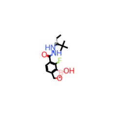 CC[C@@H](NNC(=O)c1ccc2c(c1F)B(O)OC2)C(C)(C)C